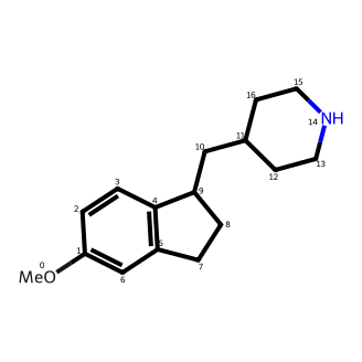 COc1ccc2c(c1)CCC2CC1CCNCC1